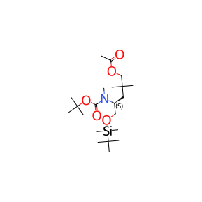 CC(=O)OCC(C)(C)C[C@@H](CO[Si](C)(C)C(C)(C)C)N(C)C(=O)OC(C)(C)C